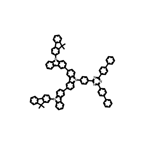 CC1(C)c2ccccc2-c2ccc(-n3c4ccccc4c4cc(-c5ccc6c(c5)c5cc(-c7ccc8c(c7)c7ccccc7n8-c7ccc8c(c7)C(C)(C)c7ccccc7-8)ccc5n6-c5ccc(-c6nc(-c7ccc(-c8ccccc8)cc7)nc(-c7ccc(-c8ccccc8)cc7)n6)cc5)ccc43)cc21